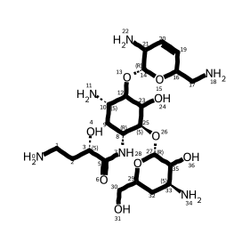 NCC[C@H](O)C(=O)N[C@@H]1C[C@H](N)C(O[C@H]2OC(CN)C=CC2N)C(O)[C@H]1O[C@H]1OC(CO)C[C@H](N)C1O